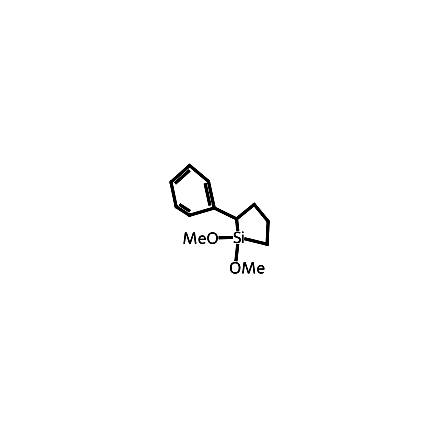 CO[Si]1(OC)CCCC1c1ccccc1